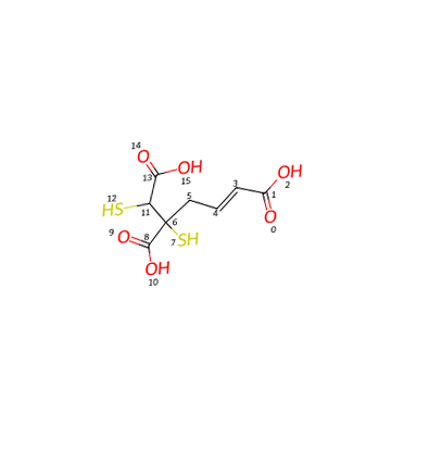 O=C(O)C=CCC(S)(C(=O)O)C(S)C(=O)O